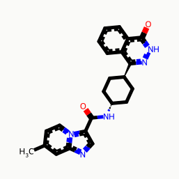 Cc1ccn2c(C(=O)N[C@H]3CC[C@H](c4n[nH]c(=O)c5ccccc54)CC3)cnc2c1